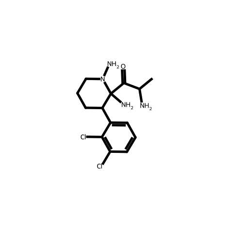 CC(N)C(=O)C1(N)C(c2cccc(Cl)c2Cl)CCCN1N